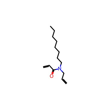 C=CCN(CCCCCCCC)C(=O)C=C